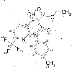 CCOC(=O)c1c(O)c2ccc(C(F)(F)F)nc2n(-c2ccc(C)cc2)c1=O